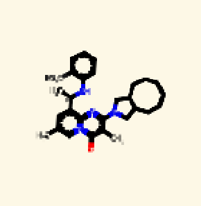 Cc1cc([C@@H](C)Nc2ccccc2C(=O)O)c2nc(N3CC4CCCCCCC4C3)c(C)c(=O)n2c1